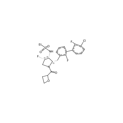 CCS(=O)(=O)N[C@H]1[C@@H](F)CN(C(=O)C2CCO2)[C@H]1Cc1cccc(-c2cccc(Cl)c2F)c1F